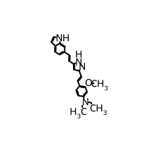 CCN(CC)c1ccc(C=Cc2cc(C=Cc3ccc4cc[nH]c4c3)[nH]n2)c(OC)c1